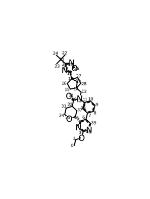 CCOc1ncc(-c2cccc(N(CC34CCC(c5nc(C(C)(C)C)no5)(CC3)C4)C(=O)C3CCOCC3)c2)cn1